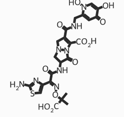 CC(C)(ON=C(C(=O)NC1CN2CC(C(=O)NCc3cc(=O)c(O)cn3O)=C(C(=O)O)N2C1=O)c1csc(N)n1)C(=O)O